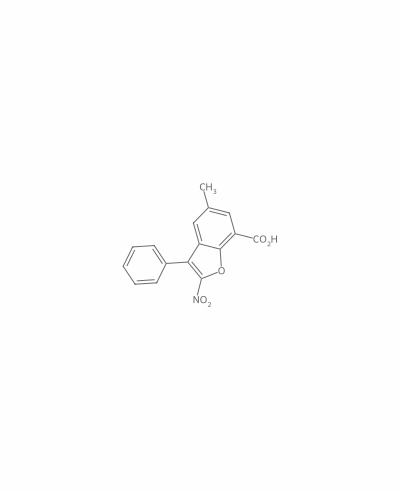 Cc1cc(C(=O)O)c2oc([N+](=O)[O-])c(-c3ccccc3)c2c1